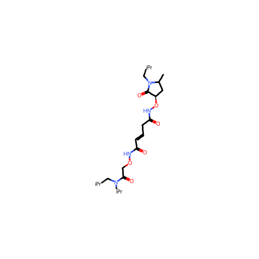 CC(C)CN(C(=O)CONC(=O)/C=C/CC(=O)NO[C@@H]1CC(C)N(CC(C)C)C1=O)C(C)C